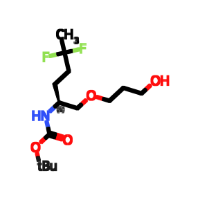 CC(F)(F)CC[C@@H](COCCCO)NC(=O)OC(C)(C)C